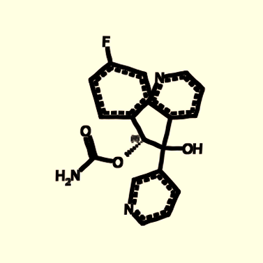 NC(=O)O[C@H](c1ccc(F)cc1)C(O)(c1cccnc1)c1cccnc1